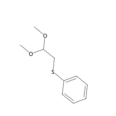 COC(CSc1ccccc1)OC